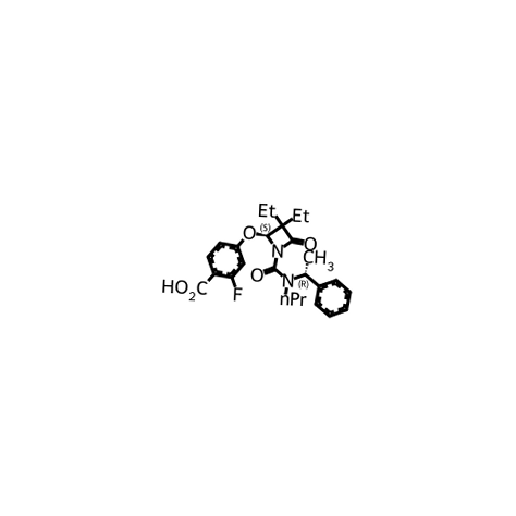 CCCN(C(=O)N1C(=O)C(CC)(CC)[C@@H]1Oc1ccc(C(=O)O)c(F)c1)[C@H](C)c1ccccc1